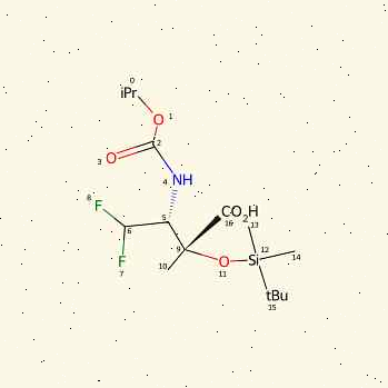 CC(C)OC(=O)N[C@@H](C(F)F)[C@@](C)(O[Si](C)(C)C(C)(C)C)C(=O)O